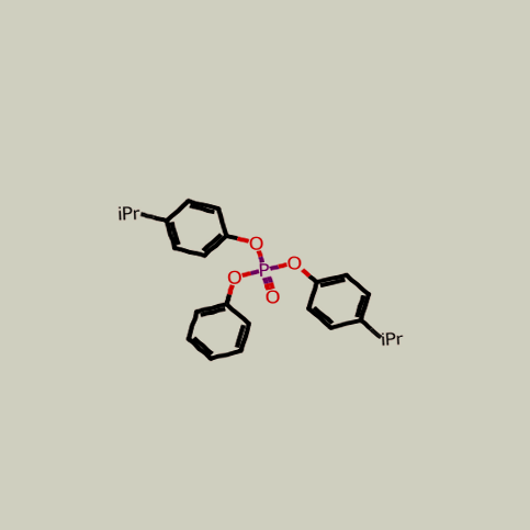 CC(C)c1ccc(OP(=O)(Oc2ccccc2)Oc2ccc(C(C)C)cc2)cc1